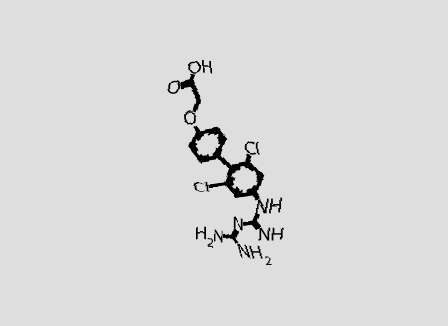 N=C(N=C(N)N)Nc1cc(Cl)c(-c2ccc(OCC(=O)O)cc2)c(Cl)c1